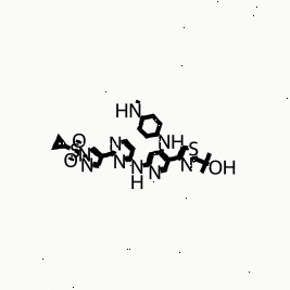 CNC1CCC(Nc2cc(Nc3ccnc(-c4cnn(S(=O)(=O)C5CC5)c4)n3)ncc2-c2csc(C(C)(C)O)n2)CC1